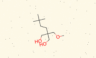 COCC(CO)(CO)CCC(C)(C)C